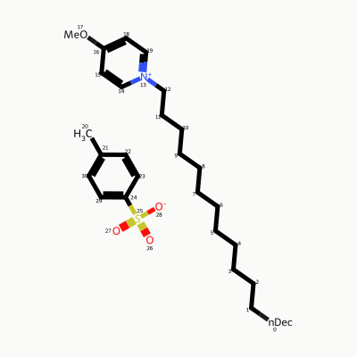 CCCCCCCCCCCCCCCCCCCCCC[n+]1ccc(OC)cc1.Cc1ccc(S(=O)(=O)[O-])cc1